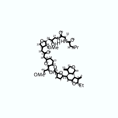 C=C1CC(CC(C2CCC(COC3CCC(CC(=O)CC4CO[C@H](CC(O)CNC(=O)[C@H](C)NC(=O)CC(C)C)[C@@H]4OC)OC3C(O)COC)O2)[C@@H]2CCOCC2=C)O[C@H]1CC